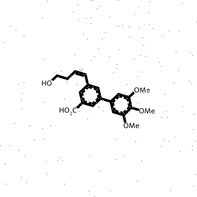 COc1cc(-c2cc(/C=C\CCO)cc(C(=O)O)c2)cc(OC)c1OC